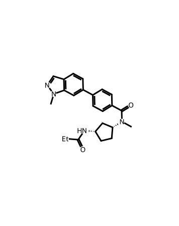 CCC(=O)N[C@H]1CC[C@@H](N(C)C(=O)c2ccc(-c3ccc4cnn(C)c4c3)cc2)C1